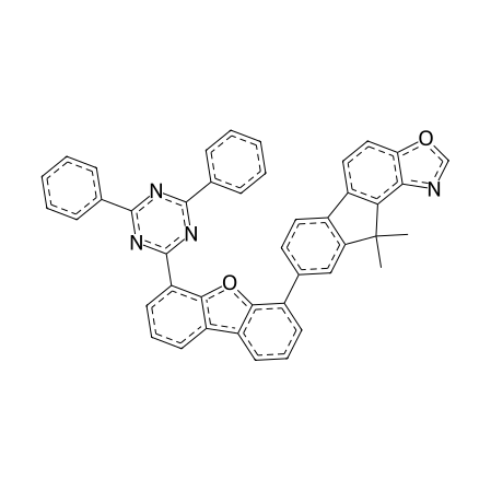 CC1(C)c2cc(-c3cccc4c3oc3c(-c5nc(-c6ccccc6)nc(-c6ccccc6)n5)cccc34)ccc2-c2ccc3ocnc3c21